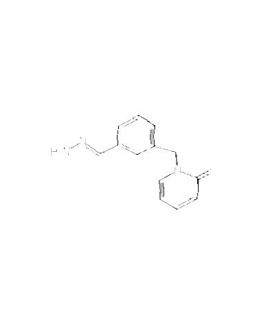 NN=Cc1cccc(Cn2ccccc2=O)c1